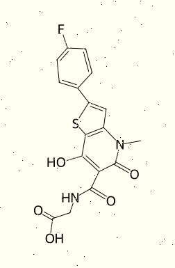 Cn1c(=O)c(C(=O)NCC(=O)O)c(O)c2sc(-c3ccc(F)cc3)cc21